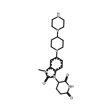 Cn1c(=O)n(C2CCC(=O)NC2=O)c2ccc(N3CCC(N4CCNCC4)CC3)cc21